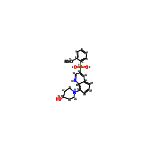 COc1ccccc1S(=O)(=O)c1cnc2c(N3CCC(O)CC3)cccc2c1